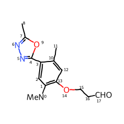 CNc1cc(-c2nnc(C)o2)c(C)cc1OCCC=O